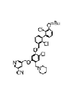 CCCCOc1cccc(-c2cccc(COc3cc(OCc4cncc(C#N)c4)c(CN4CCCCC4)cc3Cl)c2Cl)c1Cl